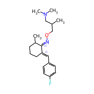 CC(CO/N=C1/C(=C/c2ccc(F)cc2)CCCC1C)CN(C)C